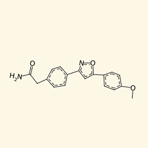 COc1ccc(-c2cc(-c3ccc(CC(N)=O)cc3)no2)cc1